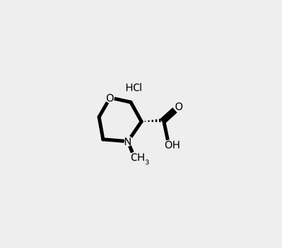 CN1CCOC[C@@H]1C(=O)O.Cl